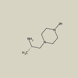 CC(C)N1CCN(C[C@H](C)N)CC1